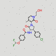 Cc1ccn(CCO)c(=O)c1N1C[C@@H](c2ccc(Cl)cc2)[C@H](NC(=O)c2ccc(OC(F)F)cc2)C1=O